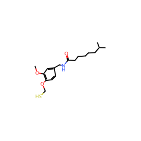 COc1cc(CNC(=O)CCCCCC(C)C)ccc1OCS